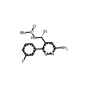 CC[C@@H](N[S+]([O-])C(C)(C)C)c1cc(N)nnc1-c1cccc(F)c1